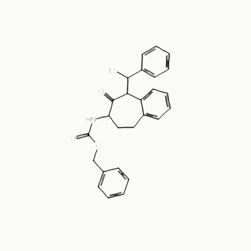 CCC(c1ccccc1)C1C(=O)C(NC(=O)OCc2ccccc2)CCc2ccccc21